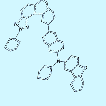 c1ccc(N(c2ccc3cc(-c4ccc5ccc6ccc7nn(-c8ccccc8)nc7c6c5c4)ccc3c2)c2ccc3oc4ccccc4c3c2)cc1